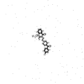 Cn1c(=S)n(CCN2CCC(C(=O)c3ccc(I)cc3)CC2)c(=O)c2ccccc21